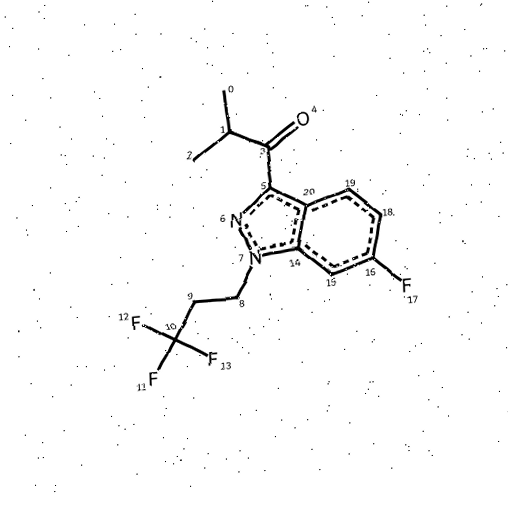 CC(C)C(=O)c1nn(CCC(F)(F)F)c2cc(F)ccc12